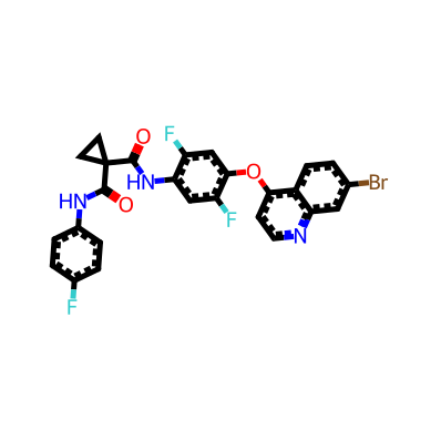 O=C(Nc1ccc(F)cc1)C1(C(=O)Nc2cc(F)c(Oc3ccnc4cc(Br)ccc34)cc2F)CC1